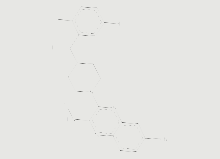 CC(C)Nc1nc2ccc(C#N)cc2nc1N1CCC([C@H](F)c2cc(F)ccc2F)CC1